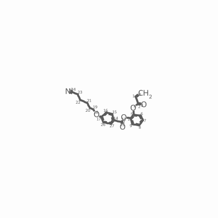 C=CC(=O)Oc1ccccc1OC(=O)c1ccc(OCCCCCC#N)cc1